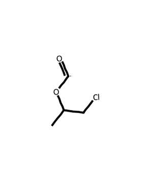 CC(CCl)O[C]=O